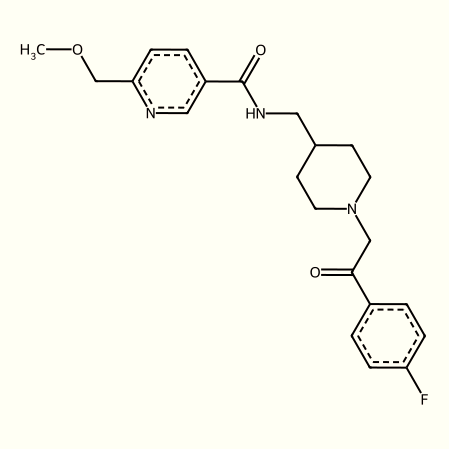 COCc1ccc(C(=O)NCC2CCN(CC(=O)c3ccc(F)cc3)CC2)cn1